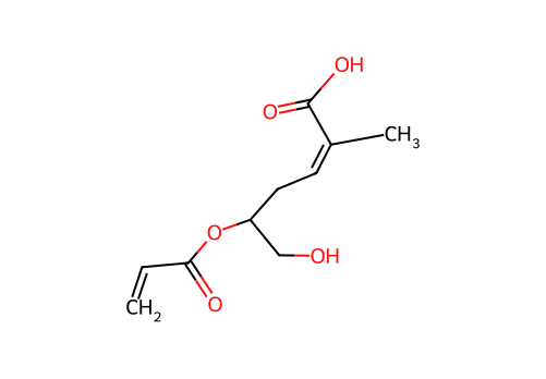 C=CC(=O)OC(CO)CC=C(C)C(=O)O